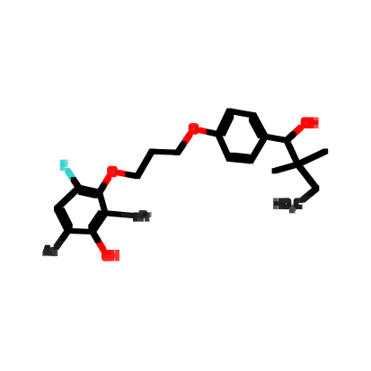 CCCc1c(O)c(C(C)=O)cc(F)c1OCCCOc1ccc(C(O)C(C)(C)CC(=O)O)cc1